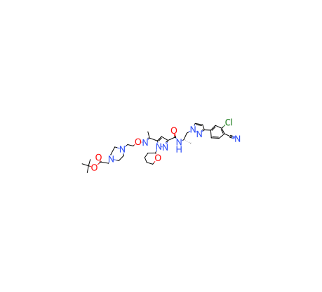 C/C(=N\OCCN1CCN(CC(=O)OC(C)(C)C)CC1)c1cc(C(=O)N[C@@H](C)Cn2ccc(-c3ccc(C#N)c(Cl)c3)n2)nn1C1CCCCO1